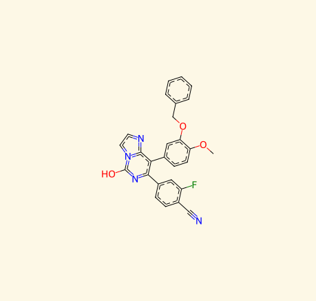 COc1ccc(-c2c(-c3ccc(C#N)c(F)c3)nc(O)n3ccnc23)cc1OCc1ccccc1